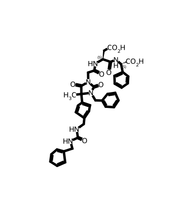 CC1(c2ccc(CNC(=O)NCc3ccccc3)cc2)C(=O)N(CC(=O)N[C@@H](CC(=O)O)C(=O)N[C@H](C(=O)O)c2ccccc2)C(=O)N1Cc1ccccc1